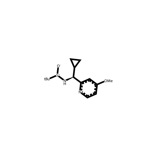 COc1ccnc([C@@H](N[S+]([O-])C(C)(C)C)C2CC2)c1